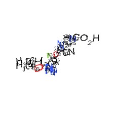 C[Si](C)(C)CCOCn1nnnc1-c1ccc(OCc2cnn(C3CCN(C(=O)O)CC3)c2C#N)c(F)c1